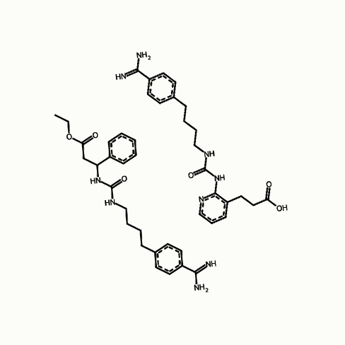 CCOC(=O)CC(NC(=O)NCCCCc1ccc(C(=N)N)cc1)c1ccccc1.N=C(N)c1ccc(CCCCNC(=O)Nc2ncccc2CCC(=O)O)cc1